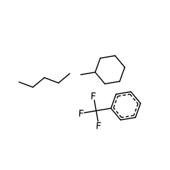 CC1CCCCC1.CCCCC.FC(F)(F)c1ccccc1